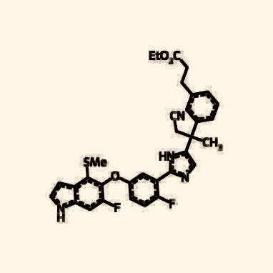 CCOC(=O)CCc1cccc(C(C)(CC#N)c2cnc(-c3cc(Oc4c(F)cc5[nH]ccc5c4SC)ccc3F)[nH]2)c1